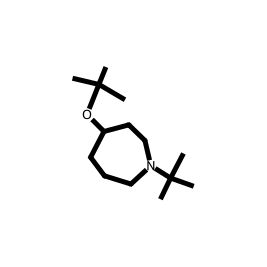 CC(C)(C)OC1CCCN(C(C)(C)C)CC1